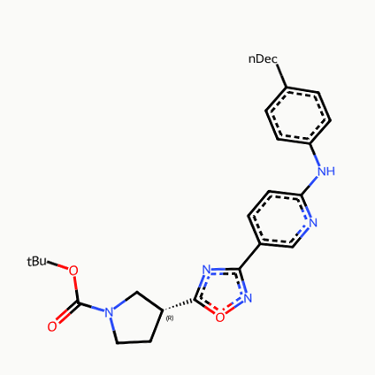 CCCCCCCCCCc1ccc(Nc2ccc(-c3noc([C@@H]4CCN(C(=O)OC(C)(C)C)C4)n3)cn2)cc1